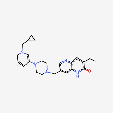 CCc1cc2ncc(CN3CCN(C4=CN(CC5CC5)CC=C4)CC3)cc2[nH]c1=O